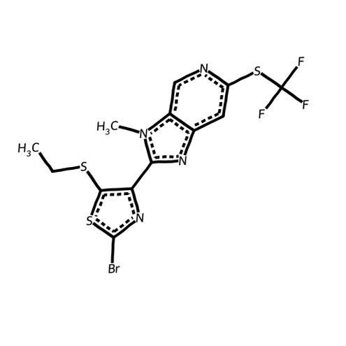 CCSc1sc(Br)nc1-c1nc2cc(SC(F)(F)F)ncc2n1C